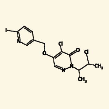 CC(Cl)C(C)n1ncc(OCc2ccc(I)nc2)c(Cl)c1=O